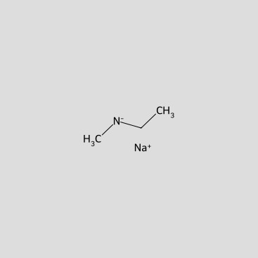 CC[N-]C.[Na+]